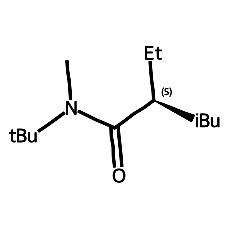 CCC(C)[C@H](CC)C(=O)N(C)C(C)(C)C